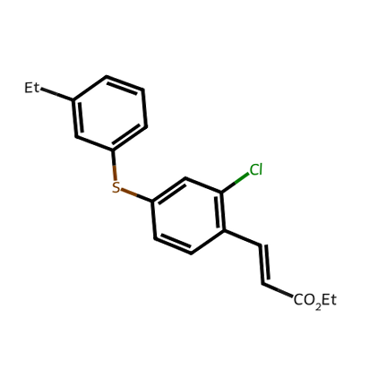 CCOC(=O)/C=C/c1ccc(Sc2cccc(CC)c2)cc1Cl